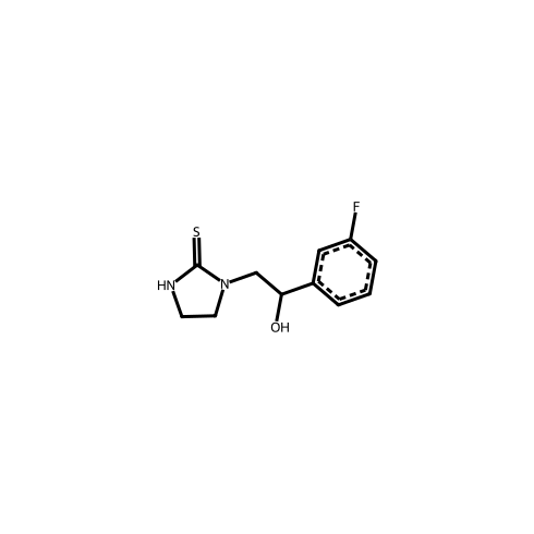 OC(CN1CCNC1=S)c1cccc(F)c1